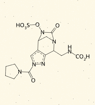 O=C(O)NCC1c2nn(C(=O)N3CCCC3)cc2C2CN1C(=O)N2OS(=O)(=O)O